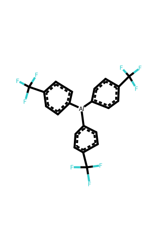 FC(F)(F)c1cc[c]([Al]([c]2ccc(C(F)(F)F)cc2)[c]2ccc(C(F)(F)F)cc2)cc1